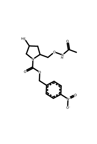 CC(=O)NOCC1CC(S)CN1C(=O)OCc1ccc([N+](=O)[O-])cc1